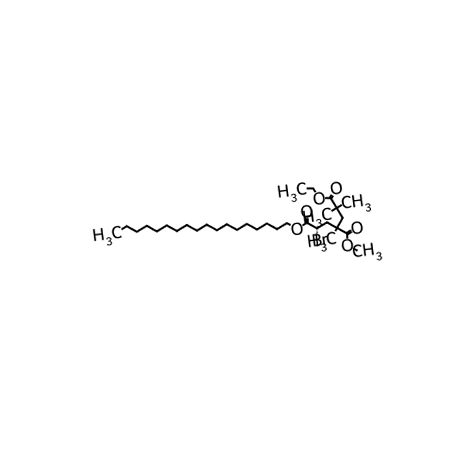 CCCCCCCCCCCCCCCCCCOC(=O)[C@@H](Br)CC(C)(CC(C)(C)C(=O)OCC)C(=O)OC